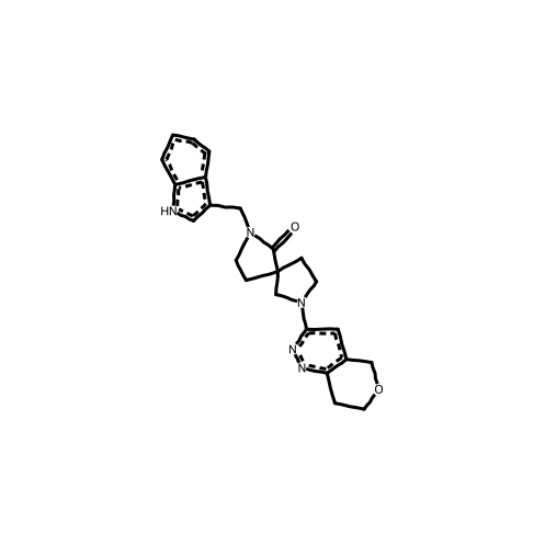 O=C1N(Cc2c[nH]c3ccccc23)CCC12CCN(c1cc3c(nn1)CCOC3)C2